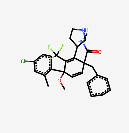 CNC(=O)C1(Cc2ccccc2)C=CC(OC)(c2ccc(Cl)cc2C)C(C(F)(F)F)=C1C1CCNC1